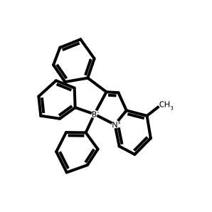 Cc1ccc[n+]2c1C=C(c1ccccc1)[B-]2(c1ccccc1)c1ccccc1